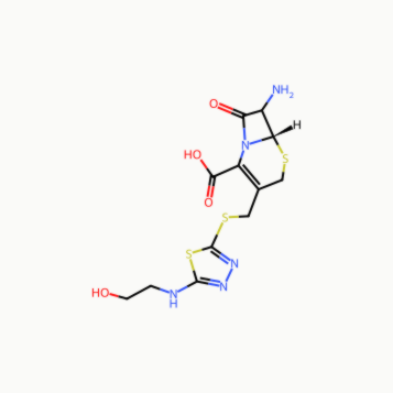 NC1C(=O)N2C(C(=O)O)=C(CSc3nnc(NCCO)s3)CS[C@@H]12